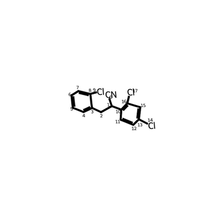 N#CC(Cc1ccccc1Cl)c1ccc(Cl)cc1Cl